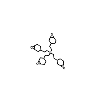 C1CC2OC2CC1CC[Si](CCC1CCC2OC2C1)(CCC1CCC2OC2C1)CCC1CCC2OC2C1